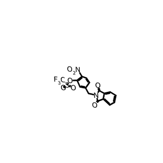 O=C1c2ccccc2C(=O)N1Cc1ccc([N+](=O)[O-])c(OS(=O)(=O)C(F)(F)F)c1